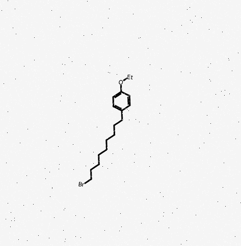 CCOc1ccc(CCCCCCCCCBr)cc1